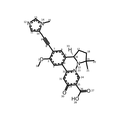 COc1cc2c(cc1C#Cc1cncn1C)[C@H]1CCC(C)(C)N1n1cc(C(=O)O)c(=O)cc1-2